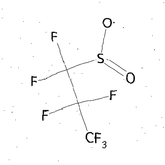 [O]S(=O)C(F)(F)C(F)(F)C(F)(F)F